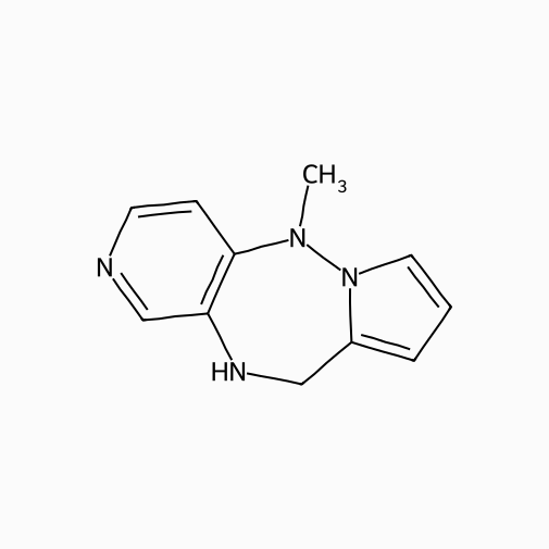 CN1c2ccncc2NCc2cccn21